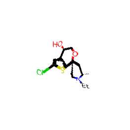 CCN1CC[C@]2(C[C@@H]1C)OC[C@H](O)c1cc(Cl)sc12